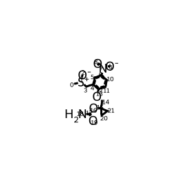 C[S+]([O-])Cc1cc([N+](=O)[O-])ccc1OCC1(OC(N)=O)CC1